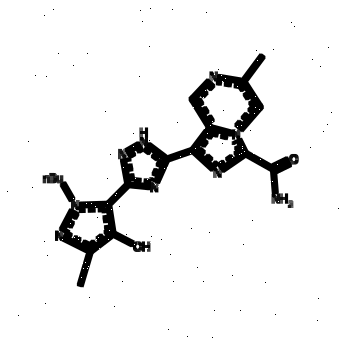 CCCCn1nc(C)c(O)c1-c1n[nH]c(-c2nc(C(N)=O)n3cc(C)ncc23)n1